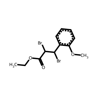 CCOC(=O)C(Br)C(Br)c1ccccc1OC